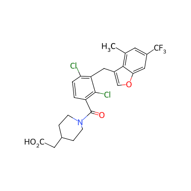 Cc1cc(C(F)(F)F)cc2occ(Cc3c(Cl)ccc(C(=O)N4CCC(CC(=O)O)CC4)c3Cl)c12